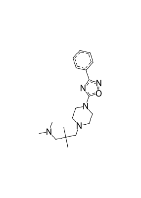 CN(C)CC(C)(C)CN1CCN(c2nc(-c3ccccc3)no2)CC1